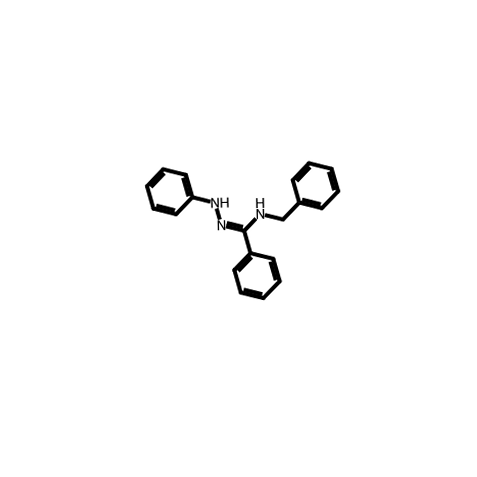 c1ccc(CN/C(=N\Nc2ccccc2)c2ccccc2)cc1